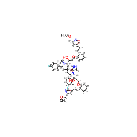 COCc1cc(C=Cc2ccccc2OCC(O)CN(C)C(CC2(CC(c3ccc(F)cc3)N(C)CC(O)COc3ccccc3C=Cc3cc(COC)no3)CCNC2=O)c2ccc(F)cc2)on1